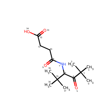 CC(C)(C)C(=O)C(NC(=O)CCC(=O)O)C(C)(C)C